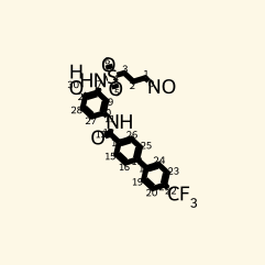 O=NCCCS(=O)(=O)Nc1cc(NC(=O)c2ccc(-c3ccc(C(F)(F)F)cc3)cc2)ccc1O